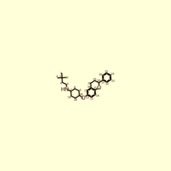 CC(C)(C)CCNC1CCC(Oc2ccc3c(c2)CCC(c2ccccc2)O3)CC1